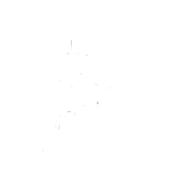 CC(C)(C)CNc1ccc2c(-c3ccncc3)c(-c3ccc(F)cc3)[nH]c2n1